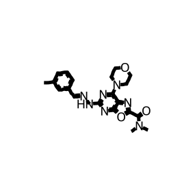 Cc1cccc(/C=N/Nc2nc(N3CCOCC3)c3nc(C(=O)N(C)C)oc3n2)c1